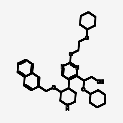 OCC(OC1CCCCC1)c1nc(OCCOC2CCCCC2)ncc1C1CCNCC1OCc1ccc2ccccc2c1